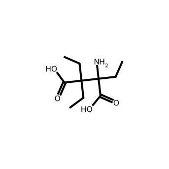 CCC(N)(C(=O)O)C(CC)(CC)C(=O)O